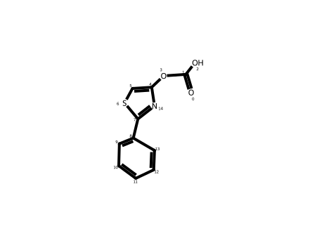 O=C(O)Oc1csc(-c2ccccc2)n1